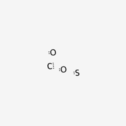 [C].[O].[O].[S]